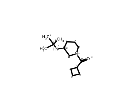 CC(C)(C)N[C@H]1CCCN(C(=O)C2CCC2)C1